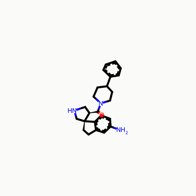 Nc1ccc2c(c1)CC[C@]21CNC[C@H]1C(=O)N1CCC(c2ccccc2)CC1